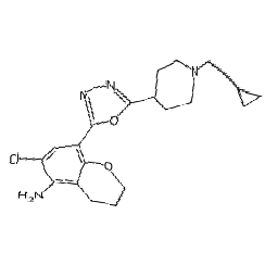 Nc1c(Cl)cc(-c2nnc(C3CCN(CC4CC4)CC3)o2)c2c1CCCO2